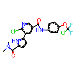 CN(C)C(=O)c1ccc(-c2cc(C(=O)Nc3ccc(OC(F)(F)Cl)cc3)cnc2Cl)[nH]1